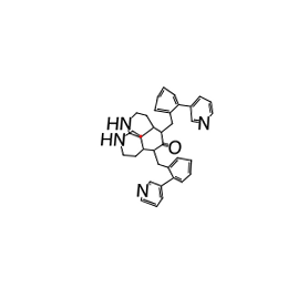 O=C(C(Cc1ccccc1-c1cccnc1)C1CCNCC1)C(Cc1ccccc1-c1cccnc1)C1CCNCC1